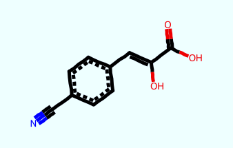 N#Cc1ccc(/C=C(\O)C(=O)O)cc1